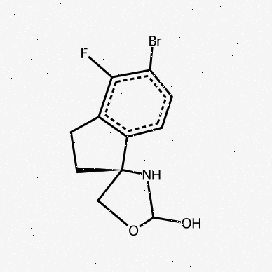 OC1N[C@]2(CCc3c2ccc(Br)c3F)CO1